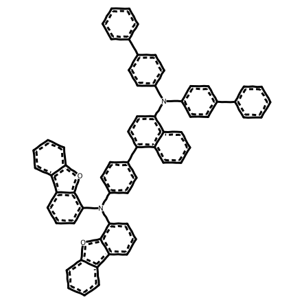 c1ccc(-c2ccc(N(c3ccc(-c4ccccc4)cc3)c3ccc(-c4ccc(N(c5cccc6c5oc5ccccc56)c5cccc6c5oc5ccccc56)cc4)c4ccccc34)cc2)cc1